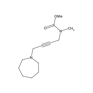 COC(=O)N(C)CC#CCN1CCCCCC1